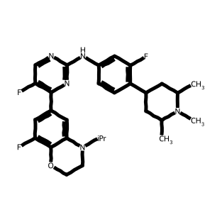 CC(C)N1CCOc2c(F)cc(-c3nc(Nc4ccc(C5CC(C)N(C)C(C)C5)c(F)c4)ncc3F)cc21